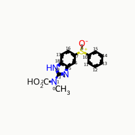 CN(C(=O)O)c1nc2cc([S+]([O-])c3ccccc3)ccc2[nH]1